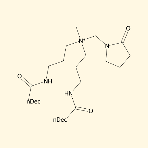 CCCCCCCCCCC(=O)NCCC[N+](C)(CCCNC(=O)CCCCCCCCCC)CN1CCCC1=O